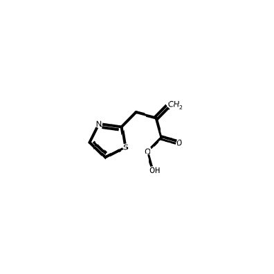 C=C(Cc1nccs1)C(=O)OO